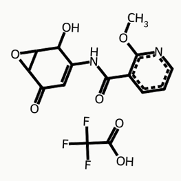 COc1ncccc1C(=O)NC1=CC(=O)C2OC2C1O.O=C(O)C(F)(F)F